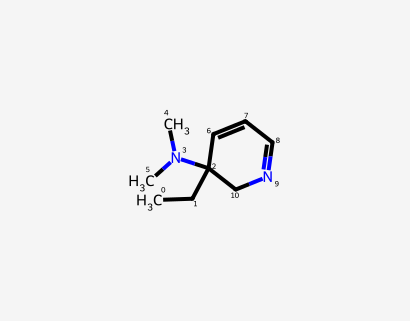 CCC1(N(C)C)C=CC=NC1